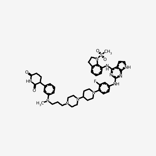 CN(CCCN1CCN(C2CCN(c3ccc(Nc4nc(Nc5cccc6c5N(S(C)(=O)=O)CC6)c5cc[nH]c5n4)cc3F)CC2)CC1)c1cccc(C2CCC(=O)NC2=O)c1